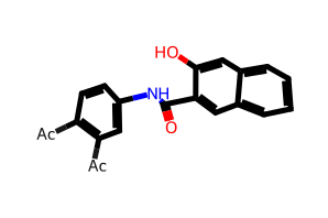 CC(=O)c1ccc(NC(=O)c2cc3ccccc3cc2O)cc1C(C)=O